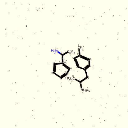 CC(=O)NC(Cc1ccc(C(F)(F)F)cc1)C(=O)O.CC(N)c1ccccc1